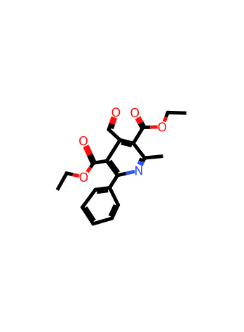 CCOC(=O)c1c(C)nc(-c2ccccc2)c(C(=O)OCC)c1C=O